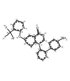 Bc1ccc(-c2ncccc2-n2cnc(=O)c3cc(Oc4ncccc4C(F)(F)F)ccc32)cc1